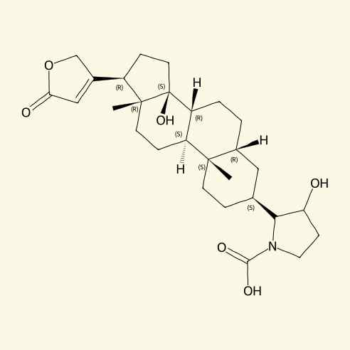 C[C@]12CC[C@H](C3C(O)CCN3C(=O)O)C[C@H]1CC[C@@H]1[C@@H]2CC[C@]2(C)[C@@H](C3=CC(=O)OC3)CC[C@]12O